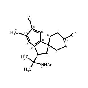 CC(=O)NC(C)(C)[C@@H]1CC2(CCN(Cl)CC2)c2cc(Cl)c(C)cc21